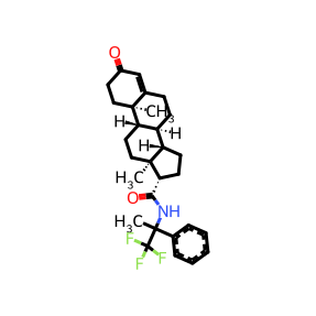 CC(NC(=O)[C@H]1CC[C@H]2[C@@H]3CCC4=CC(=O)CC[C@]4(C)[C@H]3CC[C@]12C)(c1ccccc1)C(F)(F)F